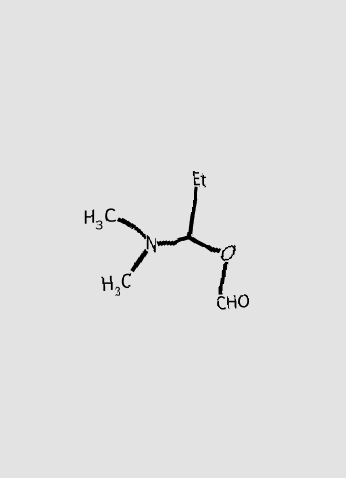 CCC(OC=O)N(C)C